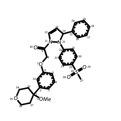 COC1(c2cccc(OCC(=O)N3C=CC(c4ccccc4)N3c3ccc(S(C)(=O)=O)cc3)c2)CCOCC1